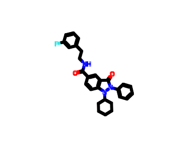 O=C(NCCc1cccc(F)c1)c1ccc2c(c1)c(=O)n(-c1ccccc1)n2C1CCCCC1